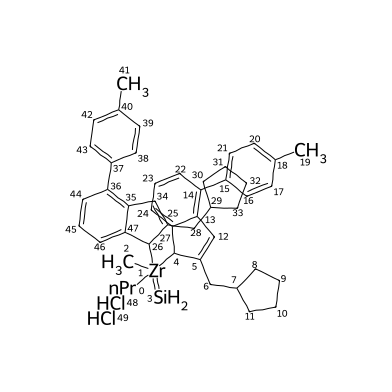 CC[CH2][Zr]([CH3])(=[SiH2])([CH]1C(CC2CCCC2)=Cc2c(-c3ccc(C)cc3)cccc21)[CH]1C(CC2CCCC2)=Cc2c(-c3ccc(C)cc3)cccc21.Cl.Cl